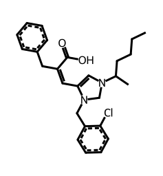 CCCCC(C)N1C=C(C=C(Cc2ccccc2)C(=O)O)N(Cc2ccccc2Cl)C1